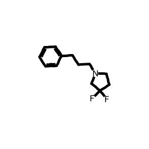 FC1(F)CCN(CCCc2ccccc2)C1